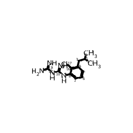 CC(C)Cc1cccc(NC(=N)NC(=N)N)c1Cl